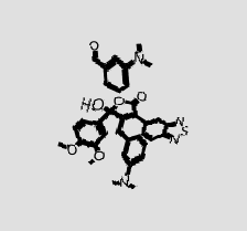 CN(C)c1cccc(C=O)c1.COc1ccc(C2(O)OC(=O)C(c3ccc4nsnc4c3)=C2Cc2cccc(N(C)C)c2)cc1OC